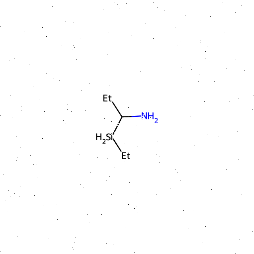 CC[SiH2]C(N)CC